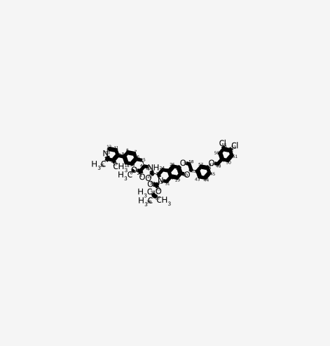 COC(=O)[C@H](Cc1ccc(-c2ccnc(C)c2C)cc1)NC(=O)[C@@H]1Cc2cc3c(cc2CN1C(=O)OC(C)(C)C)O[C@@H](c1cccc(OCc2ccc(Cl)c(Cl)c2)c1)CO3